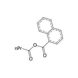 CCCC(=O)OC(=O)c1cccc2ccccc12